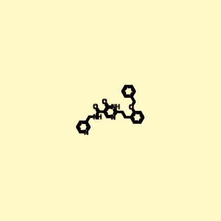 O=C(NCc1cccnc1)c1cnc(CCc2ccccc2OCc2ccccc2)[nH]c1=O